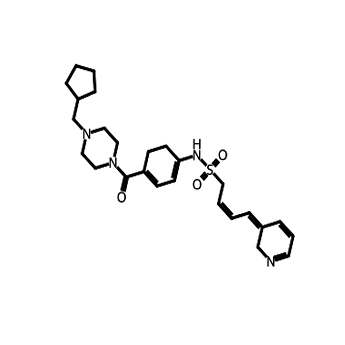 O=C(C1=CC=C(NS(=O)(=O)C/C=C\C=C2\C=CC=NC2)CC1)N1CCN(CC2CCCC2)CC1